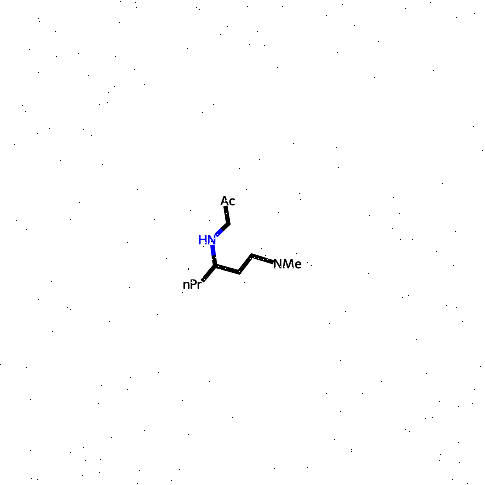 CCCC(CCNC)NCC(C)=O